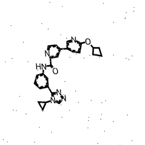 O=C(Nc1cccc(-c2nncn2C2CC2)c1)c1cc(-c2ccc(OC3CCC3)nc2)ccn1